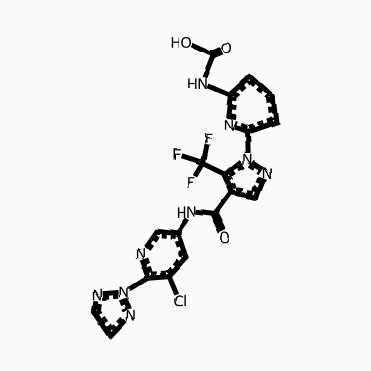 O=C(O)Nc1cccc(-n2ncc(C(=O)Nc3cnc(-n4nccn4)c(Cl)c3)c2C(F)(F)F)n1